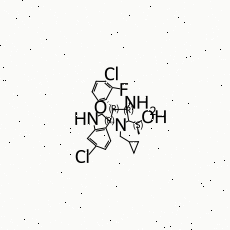 C[C@H](O)C1[C@H](N)[C@@H](c2cccc(Cl)c2F)[C@@]2(C(=O)Nc3cc(Cl)ccc32)N1CC1CC1